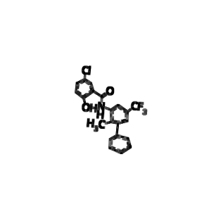 Cc1c(NC(=O)c2cc(Cl)ccc2O)cc(C(F)(F)F)cc1-c1ccccc1